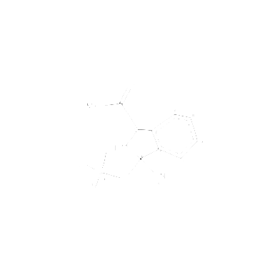 COC(=O)C1CC(C#N)(O[Si](C)(C)C)c2ccccc21